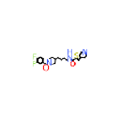 O=C(NCCCCC1CCN(C(=O)c2ccc(F)c(F)c2)CC1)c1cc2ccncc2s1